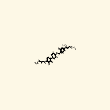 C=CCCOc1ccc(C2CCC(OCc3ccc(C(O)CCC)cc3F)CC2)c(F)c1F